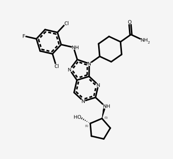 NC(=O)C1CCC(n2c(Nc3c(Cl)cc(F)cc3Cl)nc3cnc(N[C@H]4CCC[C@@H]4O)nc32)CC1